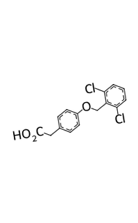 O=C(O)Cc1ccc(OCc2c(Cl)cccc2Cl)cc1